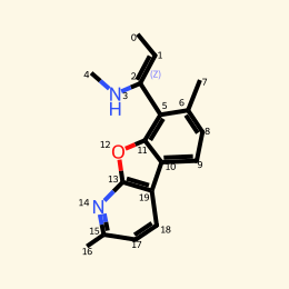 C/C=C(\NC)c1c(C)ccc2c1oc1nc(C)ccc12